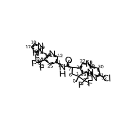 CC1(C(F)(F)F)CC(C(=O)Nc2cnc(-n3nccn3)c(C(F)(F)F)c2)c2cnc3cc(Cl)nn3c21